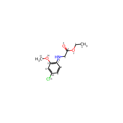 CCOC(=O)CNc1ccc(Cl)cc1OC